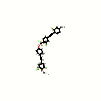 CCCCc1ccc(C#Cc2ccc(C(F)(F)Oc3ccc(C#Cc4cc(F)c(OC(F)(F)F)c(F)c4)c(F)c3)c(F)c2)c(F)c1